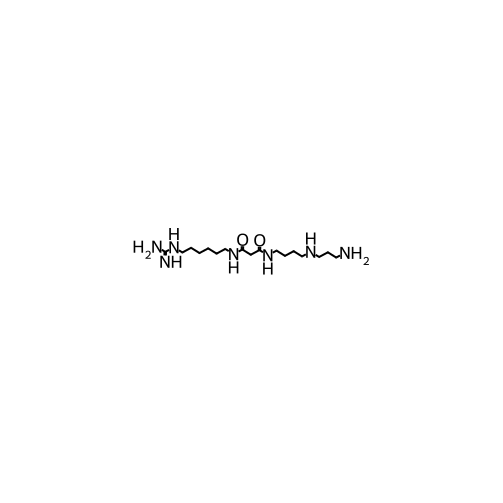 N=C(N)NCCCCCCNC(=O)CC(=O)NCCCCNCCCN